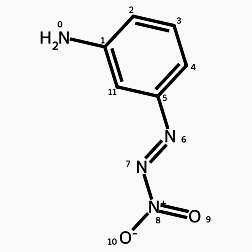 Nc1cccc(N=N[N+](=O)[O-])c1